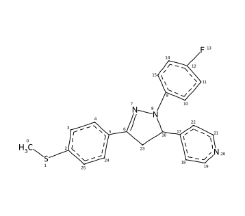 CSc1ccc(C2=NN(c3ccc(F)cc3)C(c3ccncc3)C2)cc1